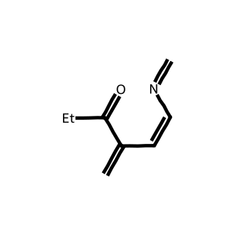 C=N/C=C\C(=C)C(=O)CC